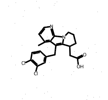 Cc1ccnc2c1c(Cc1ccc(Cl)c(Cl)c1)c1n2CCCC1CC(=O)O